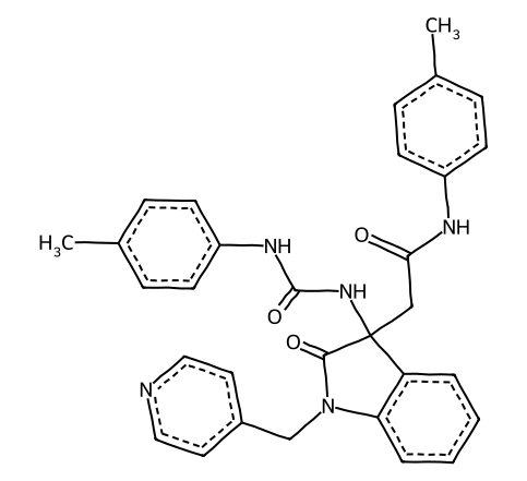 Cc1ccc(NC(=O)CC2(NC(=O)Nc3ccc(C)cc3)C(=O)N(Cc3ccncc3)c3ccccc32)cc1